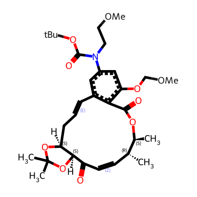 COCCN(C(=O)OC(C)(C)C)c1cc2c(c(OCOC)c1)C(=O)O[C@@H](C)[C@H](C)/C=C\C(=O)[C@H]1OC(C)(C)O[C@H]1C/C=C/2